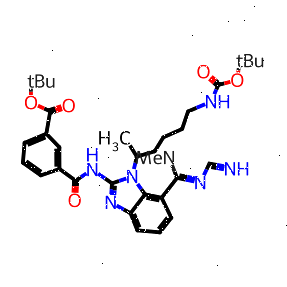 CN/C(=N\C=N)c1cccc2nc(NC(=O)c3cccc(C(=O)OC(C)(C)C)c3)n(C(C)CCCCNC(=O)OC(C)(C)C)c12